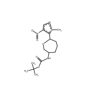 Cn1ncc([N+](=O)[O-])c1C1CCCC(NC(=O)OC(C)(C)C)CO1